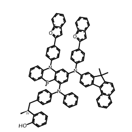 CB1c2ccccc2N(c2ccc(-c3cc4ccccc4o3)cc2)c2cc(N(c3ccc(-c4cc5ccccc5o4)cc3)c3ccc4c(c3)C(C)(C)c3ccc5ccccc5c3-4)cc(N(c3ccccc3)c3ccc(C[C@H](C)c4ccccc4O)cc3)c21